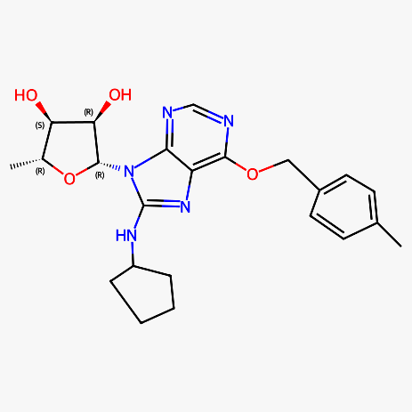 Cc1ccc(COc2ncnc3c2nc(NC2CCCC2)n3[C@@H]2O[C@H](C)[C@@H](O)[C@H]2O)cc1